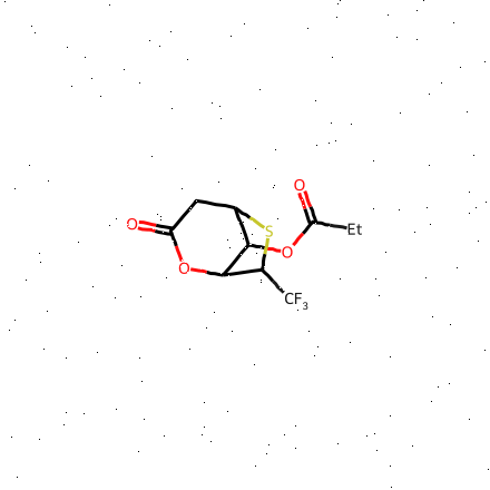 CCC(=O)OC1C2CC(=O)OC1C(C(F)(F)F)S2